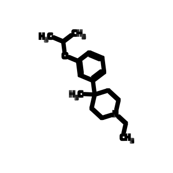 CCN1CCC(C)(c2cccc(OC(C)C)c2)CC1